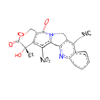 [C-]#[N+]c1c2c(nc3ccccc13)-c1c([N+](=O)[O-])c3c(c(=O)n1C2)COC(=O)[C@]3(O)CC